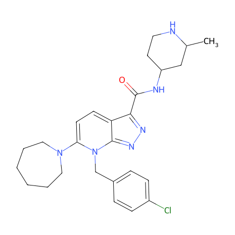 CC1CC(NC(=O)c2nnc3n(Cc4ccc(Cl)cc4)c(N4CCCCCC4)ccc2-3)CCN1